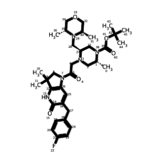 C[C@@H]1CN(CC(=O)N2CC(C)(C)c3[nH]c(=O)c(Cc4ccc(F)cc4)cc32)[C@@H](CN2[C@H](C)COC[C@H]2C)CN1C(=O)OC(C)(C)C